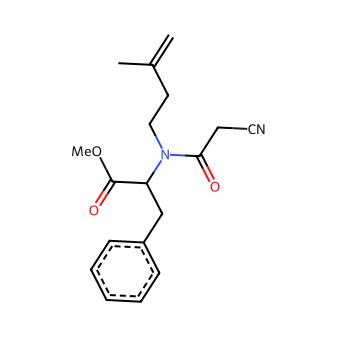 C=C(C)CCN(C(=O)CC#N)C(Cc1ccccc1)C(=O)OC